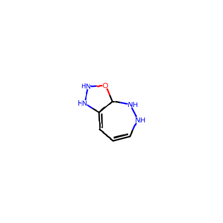 C1=CNNC2ONNC2=C1